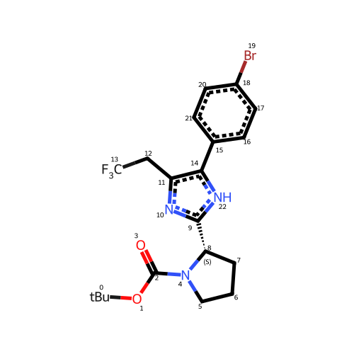 CC(C)(C)OC(=O)N1CCC[C@H]1c1nc(CC(F)(F)F)c(-c2ccc(Br)cc2)[nH]1